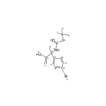 CC(C)(C)OC(=O)NC(C)(C(=O)O)c1ccc(Br)cc1